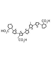 Cc1cc(-c2ccc(-c3cc(CC(=O)O)c(-c4ccc(-c5ccccc5C(=O)O)s4)s3)s2)sc1-c1ccc(-c2ccccc2C(=O)O)s1